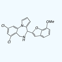 COc1cccc2cc(C3NCc4c(Cl)cc(Cl)cc4-n4cccc43)oc12